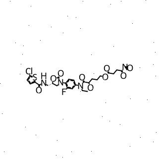 O=NC(=O)CCC(=O)OCCCC1OCCN(c2ccc(N3C[C@H](CNC(=O)c4ccc(Cl)s4)OC3=O)c(F)c2)C1=O